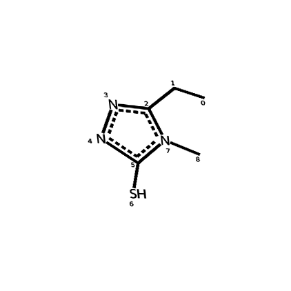 CCc1nnc(S)n1C